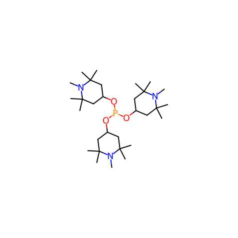 CN1C(C)(C)CC(OP(OC2CC(C)(C)N(C)C(C)(C)C2)OC2CC(C)(C)N(C)C(C)(C)C2)CC1(C)C